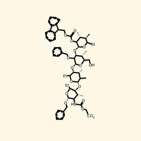 CCC1O[C@@H](O[C@@H]2C(CC)O[C@@H](OCc3ccccc3)C(NC(=O)OCC(Cl)(Cl)Cl)[C@H]2C)C(C)[C@@H](C)[C@@H]1O[C@@H]1OC(CO)[C@@H](C)[C@H](O[C@@H]2OC(CC)[C@H](C)[C@@H](C)C2OC(=O)OCC2c3ccccc3-c3ccccc32)C1OCc1ccccc1